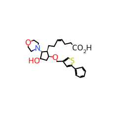 O=C(O)CC/C=C\CC[C@@H]1[C@@H](N2CCOCC2)[C@H](O)C[C@@H]1OCc1csc(-c2ccccc2)c1